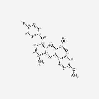 COc1ccc(C(Sc2cc(Oc3ccc(F)cc3)ccc2N)[C@@H](O)C(=O)O)cc1